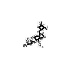 Cc1cc2c(c(C)c1NC(=O)CC(C)C(C)C)CCCC2Cc1cc(Cl)cc(Cl)c1